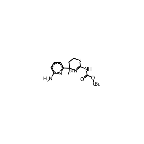 CC(C)(C)OC(=O)NC1=N[C@](C)(c2cccc(N)n2)CCS1